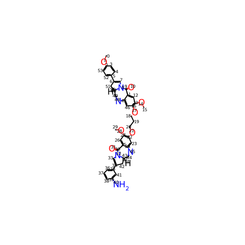 COc1ccc(C2=CN3C(=O)c4cc(OC)c(OCCCOc5cc6c(cc5OC)C(=O)N5C=C(c7cccc(N)c7)C[C@H]5C=N6)cc4N=C[C@@H]3C2)cc1